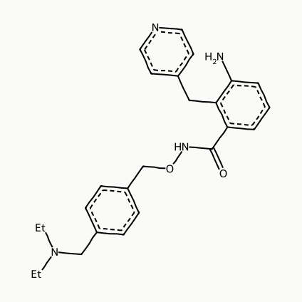 CCN(CC)Cc1ccc(CONC(=O)c2cccc(N)c2Cc2ccncc2)cc1